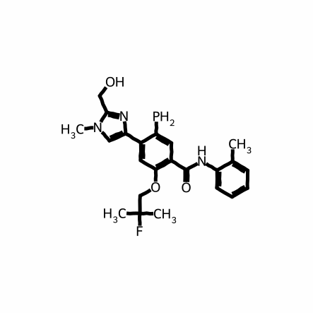 Cc1ccccc1NC(=O)c1cc(P)c(-c2cn(C)c(CO)n2)cc1OCC(C)(C)F